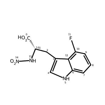 O=C(O)[C@H](Cc1c[nH]c2cccc(F)c12)N[N+](=O)[O-]